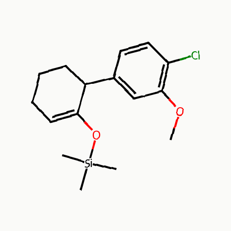 COc1cc(C2CCCC=C2O[Si](C)(C)C)ccc1Cl